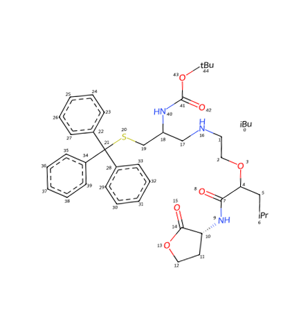 CC[C@H](C)C(COC(CC(C)C)C(=O)N[C@@H]1CCOC1=O)NCC(CSC(c1ccccc1)(c1ccccc1)c1ccccc1)NC(=O)OC(C)(C)C